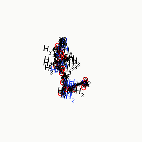 CC[C@H](C)[C@@H]([C@@H](CC(=O)N1CCC[C@H]1[C@H](OC)[C@@H](C)C(=O)Nc1ccc2ncccc2c1)OC)N(C)C(=O)[C@@H](NC(=O)C(C)(C)NC(=O)OCc1ccc(NC(=O)[C@H](CCCNC(N)=O)NC(=O)[C@@H](NC(=O)CCCCCN2C(=O)C=CC2=O)C(C)C)cc1)C(C)C